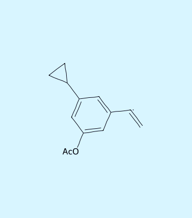 C=[C]c1cc(OC(C)=O)cc(C2CC2)c1